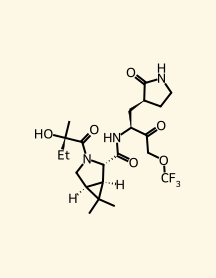 CC[C@](C)(O)C(=O)N1C[C@H]2[C@@H]([C@H]1C(=O)N[C@@H](C[C@@H]1CCNC1=O)C(=O)COC(F)(F)F)C2(C)C